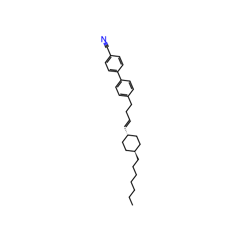 CCCCCCC[C@H]1CC[C@H](C=CCCc2ccc(-c3ccc(C#N)cc3)cc2)CC1